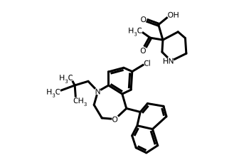 CC(=O)C1(C(=O)O)CCCNC1.CC(C)(C)CN1CCOC(c2cccc3ccccc23)c2cc(Cl)ccc21